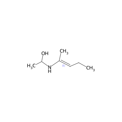 CC/C=C(\C)NC(C)O